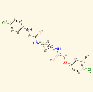 O=C(CNc1ccc(Cl)cc1)NC12CC(NC(=O)COc3ccc(Cl)c(F)c3)(C1)C2